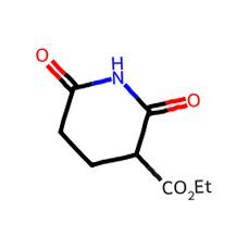 CCOC(=O)C1CCC(=O)NC1=O